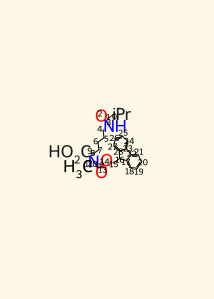 CC(C)C(=O)NCCCCC(C(=O)O)N(C)C(=O)OCC1c2ccccc2-c2ccccc21